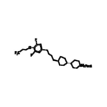 CCCCC[SiH]1CCC([C@H]2CC[C@H](CCCCc3cc(F)c(OCCC(F)(F)F)c(F)c3)CC2)CC1